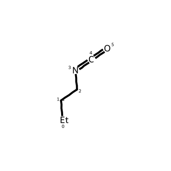 CC[CH]CN=C=O